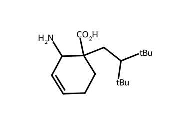 CC(C)(C)C(CC1(C(=O)O)CCC=CC1N)C(C)(C)C